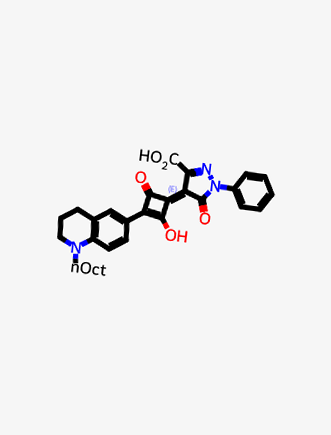 CCCCCCCCN1CCCc2cc(C3=C(O)/C(=C4\C(=O)N(c5ccccc5)N=C4C(=O)O)C3=O)ccc21